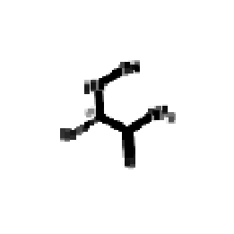 CC(C)[C@H](NO)C(N)=O